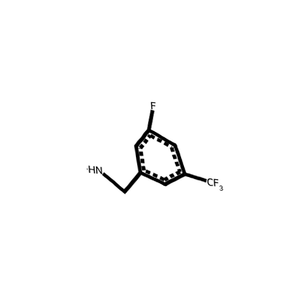 [NH]Cc1cc(F)cc(C(F)(F)F)c1